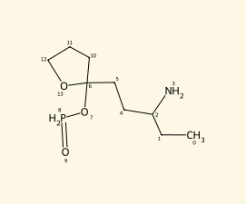 CCC(N)CCC1(O[PH2]=O)CCCO1